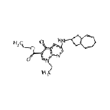 CCOC(=O)c1cn(CC)c2ncc(NC3CC4=C(C=CCC=C4)C3)cc2c1=O